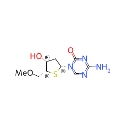 COC[C@H]1S[C@@H](n2cnc(N)nc2=O)C[C@H]1O